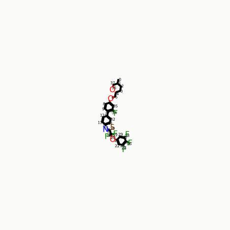 CC1CCC(COc2ccc(-c3ccc4nc(C(F)(F)Oc5cc(F)c(F)c(F)c5)sc4c3)c(F)c2)OC1